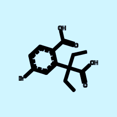 CCC(CC)(C(=O)O)c1cc(Br)ccc1C(=O)O